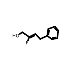 OC/C(F)=C/Cc1ccccc1